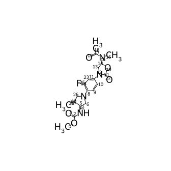 COC(=O)N[C@@H]1CN(c2ccc(N3CC(N(C)C(C)=O)OC3=O)cc2F)C[C@H]1C